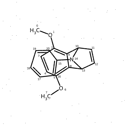 COc1ccc(OC)c2c1C1C=CC2N1c1ccccc1